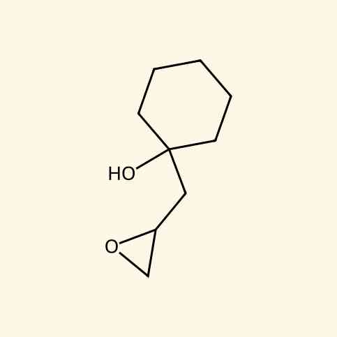 OC1(CC2CO2)CCCCC1